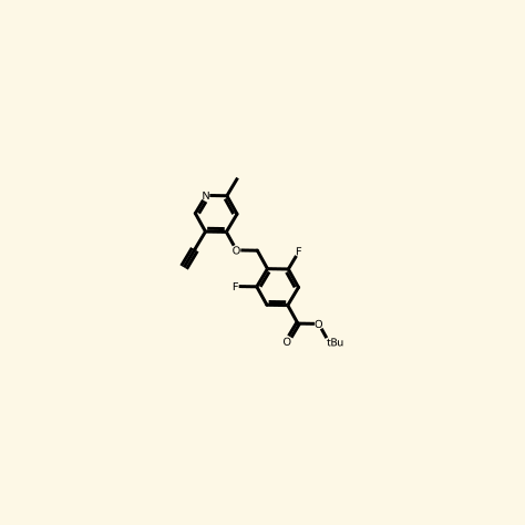 C#Cc1cnc(C)cc1OCc1c(F)cc(C(=O)OC(C)(C)C)cc1F